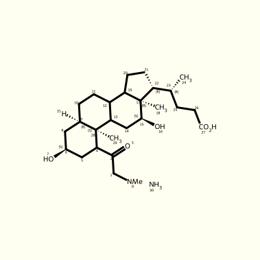 CNCC(=O)C1C[C@@H](O)C[C@H]2CCC3C(C[C@H](O)[C@@]4(C)C3CC[C@@H]4[C@H](C)CCC(=O)O)[C@@]12C.N